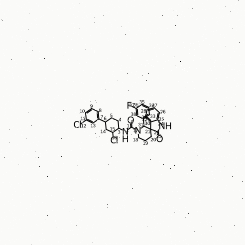 O=C(NC1CCC(c2cccc(Cl)c2)CC1Cl)N1CCCC2(C(=O)Nc3ccccc32)C1c1cccc(F)c1